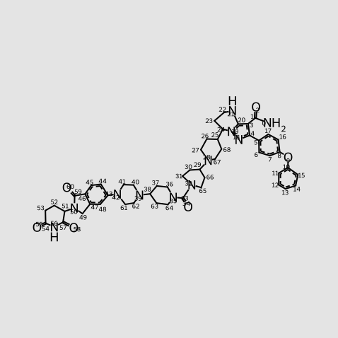 NC(=O)c1c(-c2ccc(Oc3ccccc3)cc2)nn2c1NCCC2C1CCN(C2CCN(C(=O)N3CCC(N4CCN(c5ccc6c(c5)CN(C5CCC(=O)NC5=O)C6=O)CC4)CC3)CC2)CC1